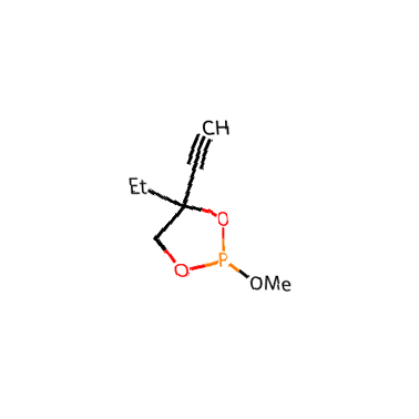 C#CC1(CC)COP(OC)O1